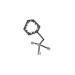 CC[Si](Br)(Br)Cc1ccccc1